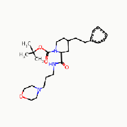 CC(C)(C)OC(=O)N1CCC(CCc2ccccc2)CC1C(=O)NCCCN1CCOCC1